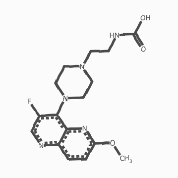 COc1ccc2ncc(F)c(N3CCN(CCNC(=O)O)CC3)c2n1